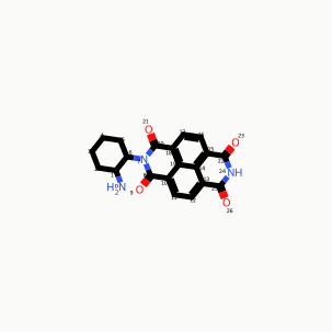 NC1CCCCC1N1C(=O)c2ccc3c4c(ccc(c24)C1=O)C(=O)NC3=O